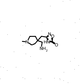 CN1CCC(CN)(Cc2noc(=O)[nH]2)CC1